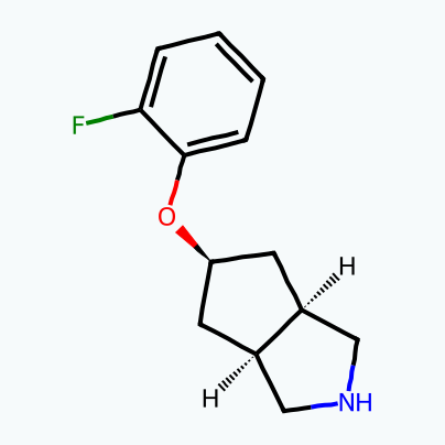 Fc1ccccc1O[C@H]1C[C@H]2CNC[C@H]2C1